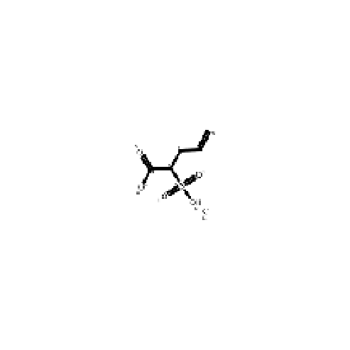 C=CCC(C(=O)[O-])S(=O)(=O)O.[K+]